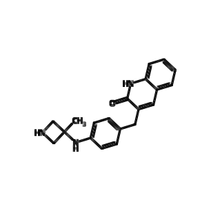 CC1(Nc2ccc(Cc3cc4ccccc4[nH]c3=O)cc2)CNC1